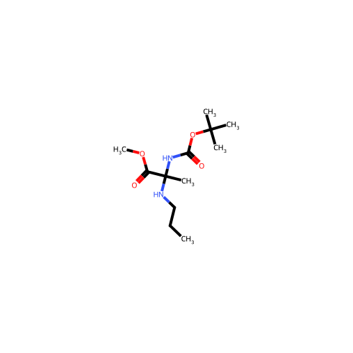 CCCNC(C)(NC(=O)OC(C)(C)C)C(=O)OC